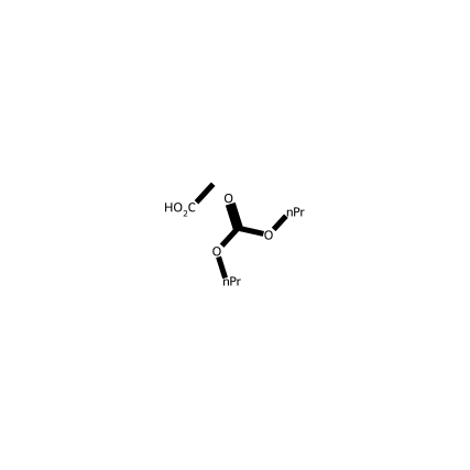 CC(=O)O.CCCOC(=O)OCCC